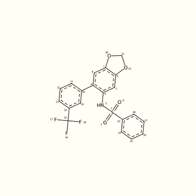 O=S(=O)(Nc1cc2c(cc1-c1cccc(C(F)(F)F)c1)OCO2)c1ccccc1